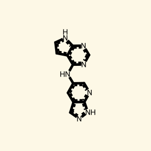 c1nc(Nc2cnc3[nH]ncc3c2)c2cc[nH]c2n1